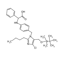 CCCCc1nc(Cl)c(CO[Si](C)(C)C(C)(C)C)n1Cc1ccc(NC(C(=O)O)c2ccccc2)cc1